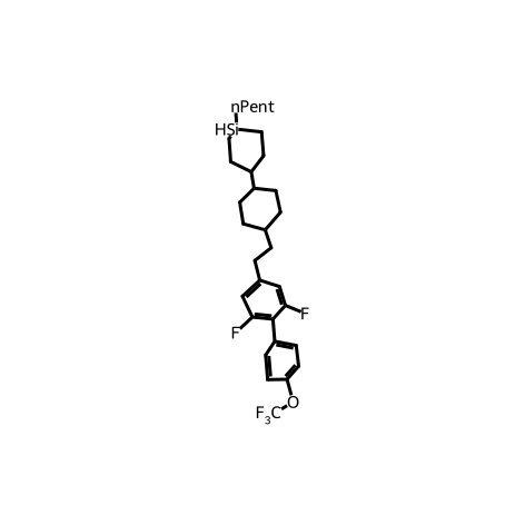 CCCCC[SiH]1CCC(C2CCC(CCc3cc(F)c(-c4ccc(OC(F)(F)F)cc4)c(F)c3)CC2)CC1